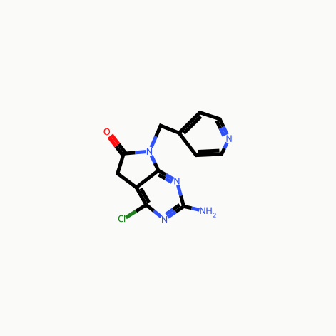 Nc1nc(Cl)c2c(n1)N(Cc1ccncc1)C(=O)C2